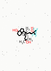 CC(C)(O)CCCC(C)(C/C=C/C(O)(C(F)(F)F)C(F)(F)F)C1CCC2C(O)CCCC21C